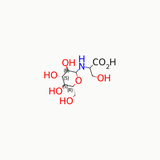 O=C(O)C(CO)NC1O[C@H](CO)[C@@H](O)[C@H](O)[C@H]1O